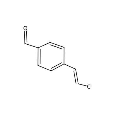 O=Cc1ccc(/C=C/Cl)cc1